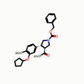 COC(=O)[C@@H]1CN(C(=O)OCc2ccccc2)C[C@H]1c1ccc(OC)c(OC2CCCC2)c1